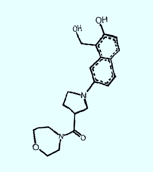 O=C(C1CCN(c2ccc3ccc(O)c(CO)c3c2)C1)N1CCOCC1